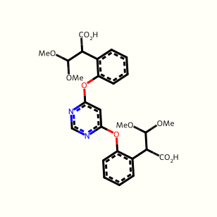 COC(OC)C(C(=O)O)c1ccccc1Oc1cc(Oc2ccccc2C(C(=O)O)C(OC)OC)ncn1